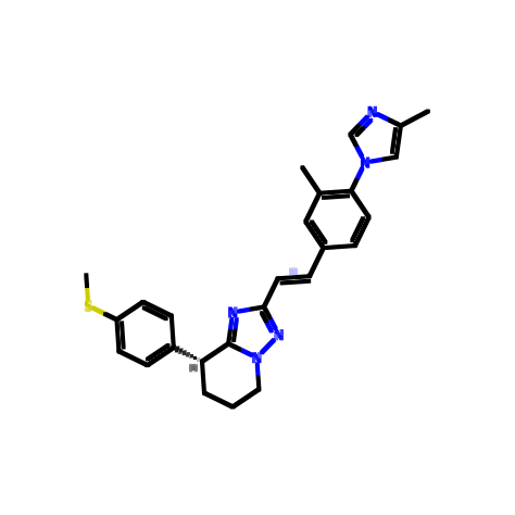 CSc1ccc([C@H]2CCCn3nc(/C=C/c4ccc(-n5cnc(C)c5)c(C)c4)nc32)cc1